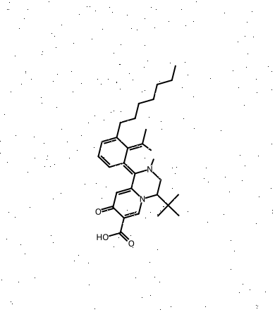 CCCCCCCc1ccc/c(=C2\c3cc(=O)c(C(=O)O)cn3C(C(C)(C)C)CN2C)c1=C(C)C